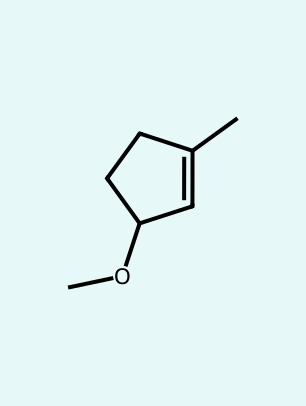 COC1C=C(C)CC1